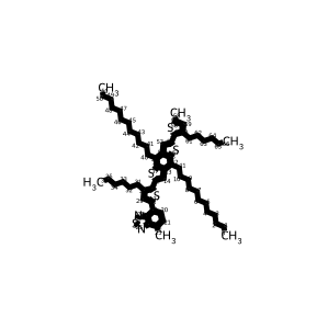 CCCCCCCCCCCCc1c2cc(-c3sc(-c4ccc(C)c5nsnc45)cc3CCCCCC)sc2c(CCCCCCCCCCCC)c2cc(-c3sc(C)cc3CCCCCC)sc12